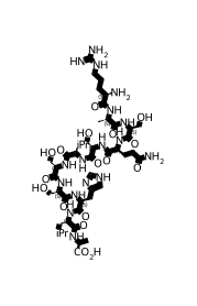 CC(C)C[C@H](NC(=O)[C@H](Cc1c[nH]cn1)NC(=O)[C@H](CO)NC(=O)[C@H](CO)NC(=O)[C@@H](NC(=O)[C@H](CO)NC(=O)[C@H](CCC(N)=O)NC(=O)[C@H](CO)NC(=O)[C@H](C)NC(=O)[C@@H](N)CCCNC(=N)N)C(C)C)C(=O)N[C@@H](C)C(=O)O